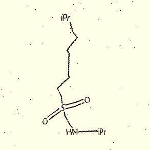 CC(C)CCCCS(=O)(=O)NC(C)C